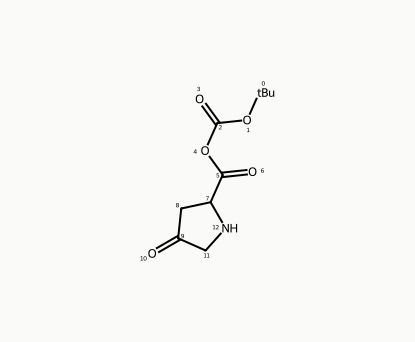 CC(C)(C)OC(=O)OC(=O)C1CC(=O)CN1